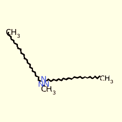 CCCCCCCCCCCCCCCCCCCCCCc1nc(C)nc(CCCCCCCCCCCCCCCCCCCCCC)n1